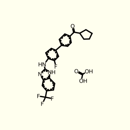 O=C(O)O.O=C(c1ccc(-c2ccc(Nc3nc4cc(C(F)(F)F)ccc4[nH]3)c(F)c2)cc1)C1CCCC1